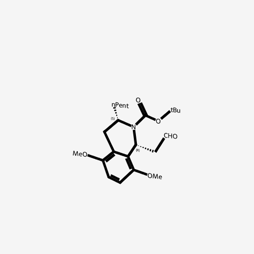 CCCCC[C@H]1Cc2c(OC)ccc(OC)c2[C@@H](CC=O)N1C(=O)OC(C)(C)C